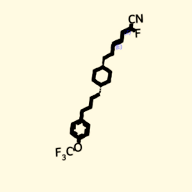 N#C/C(F)=C/C=C/CC[C@H]1CC[C@H](CCCCc2ccc(OC(F)(F)F)cc2)CC1